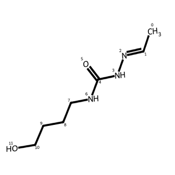 CC=NNC(=O)NCCCCO